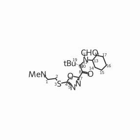 CNCCSc1nnc(C(=O)[C@@H](N(C=O)C2CCCCC2)C(C)(C)C)o1